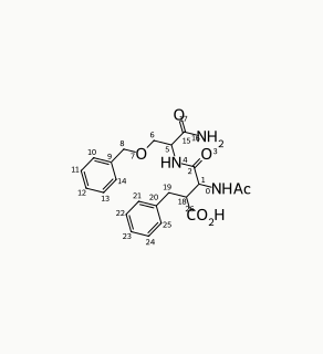 CC(=O)NC(C(=O)NC(COCc1ccccc1)C(N)=O)C(Cc1ccccc1)C(=O)O